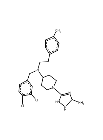 Cc1ccc(CCN(Cc2ccc(Cl)c(Cl)c2)C2CCN(C3=NC(N)NN3)CC2)cc1